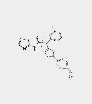 CC(C)Oc1ccc(-c2ccc(C(c3cccc(F)c3)C(C)(C)C(=O)Nc3nncs3)s2)cc1